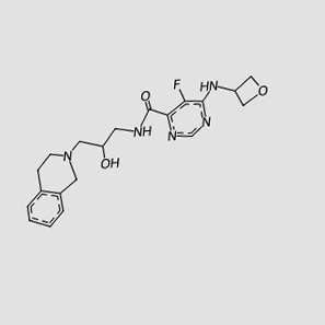 O=C(NCC(O)CN1CCc2ccccc2C1)c1ncnc(NC2COC2)c1F